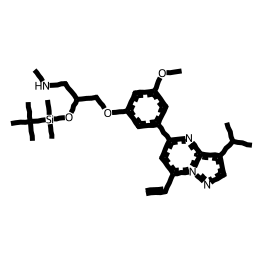 C=Cc1cc(-c2cc(OC)cc(OCC(CNC)O[Si](C)(C)C(C)(C)C)c2)nc2c(C(C)C)cnn12